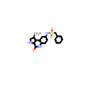 O=C(O)c1c[nH]c2c(=O)[nH]c3ccc(NS(=O)(=O)Cc4ccccc4)cc3c12